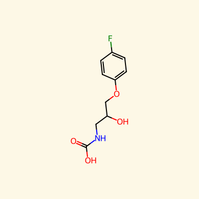 O=C(O)NCC(O)COc1ccc(F)cc1